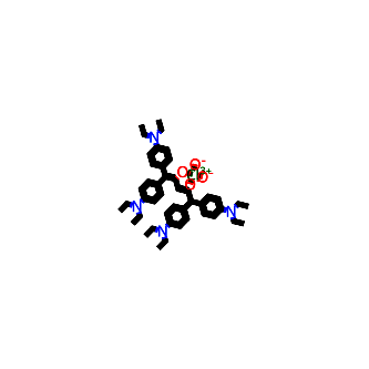 CCN(CC)c1ccc(C(=C(C=CC(c2ccc(N(CC)CC)cc2)c2ccc(N(CC)CC)cc2)O[Cl+3]([O-])([O-])[O-])c2ccc(N(CC)CC)cc2)cc1